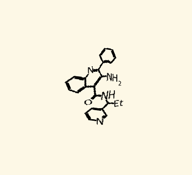 CCC(NC(=O)c1c(N)c(-c2ccccc2)nc2ccccc12)c1cccnc1